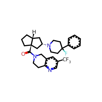 O=C(N1CCc2ncc(C(F)(F)F)cc2C1)[C@@]12CCC[C@@H]1C[C@H](N1CCC(F)(c3ccccc3)CC1)C2